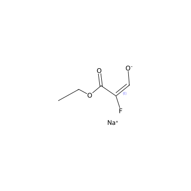 CCOC(=O)/C(F)=C\[O-].[Na+]